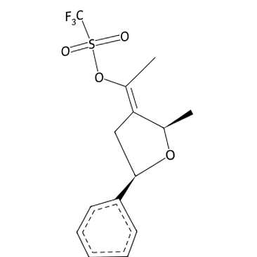 C/C(OS(=O)(=O)C(F)(F)F)=C1/C[C@H](c2ccccc2)O[C@@H]1C